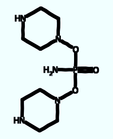 NP(=O)(ON1CCNCC1)ON1CCNCC1